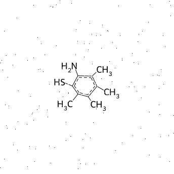 Cc1c(C)c(C)c(S)c(N)c1C